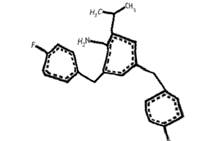 CC(C)c1cc(Cc2ccc(F)cc2)cc(Cc2ccc(F)cc2)c1N